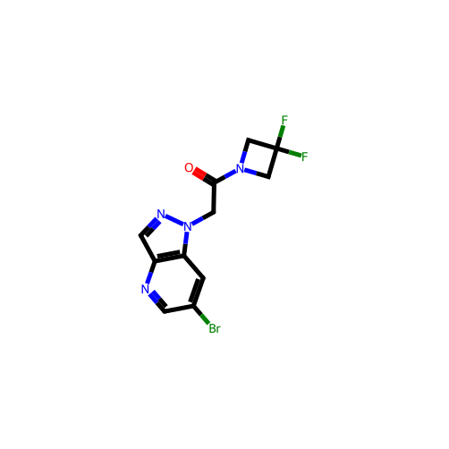 O=C(Cn1ncc2ncc(Br)cc21)N1CC(F)(F)C1